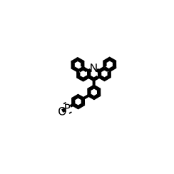 CP(C)(=O)c1ccc(-c2cccc(-c3c4ccc5ccccc5c4nc4c3ccc3ccccc34)c2)cc1